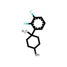 CCCC1CCC(C)(c2cccc(F)c2F)CC1